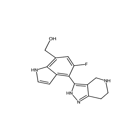 OCc1cc(F)c(-c2[nH]nc3c2CNCC3)c2cc[nH]c12